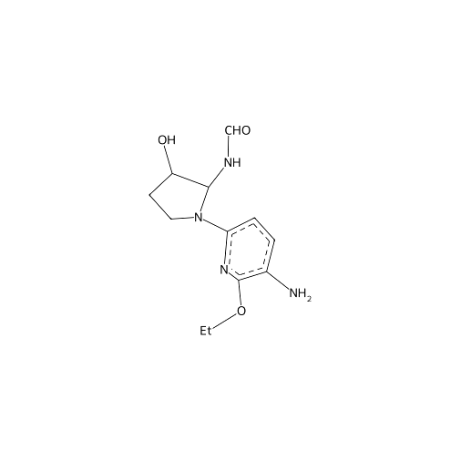 CCOc1nc(N2CCC(O)C2NC=O)ccc1N